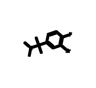 CN(C)C(C)(C)c1ccc(F)c(Br)c1